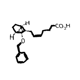 O=C(O)CCC/C=C\C[C@H]1[C@H](OCc2ccccc2)[C@H]2CC[C@@H]1O2